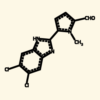 Cn1c(C=O)ccc1-c1nc2cc(Cl)c(Cl)cc2[nH]1